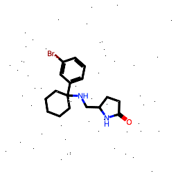 O=C1CCC(CNC2(c3cccc(Br)c3)CCCCC2)N1